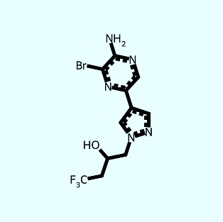 Nc1ncc(-c2cnn(CC(O)CC(F)(F)F)c2)nc1Br